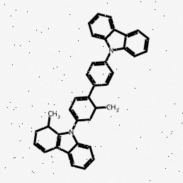 CC1CC(n2c3c(c4ccccc42)C=CCC3C)=CC=C1c1ccc(-n2c3ccccc3c3ccccc32)cc1